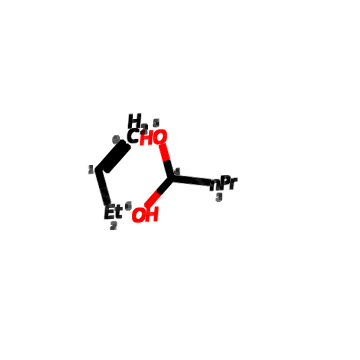 C=CCC.CCCC(O)O